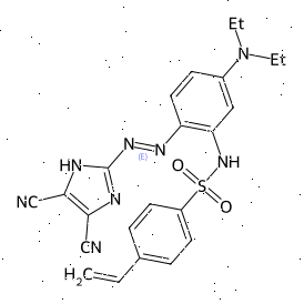 C=Cc1ccc(S(=O)(=O)Nc2cc(N(CC)CC)ccc2/N=N/c2nc(C#N)c(C#N)[nH]2)cc1